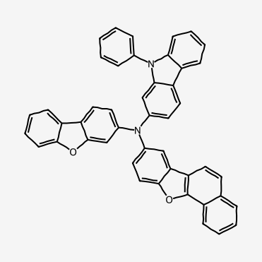 c1ccc(-n2c3ccccc3c3ccc(N(c4ccc5c(c4)oc4ccccc45)c4ccc5oc6c7ccccc7ccc6c5c4)cc32)cc1